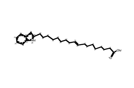 O=C(O)CCCCCCC/C=C/CCCCCCCCc1cc2ccccc2[nH]1